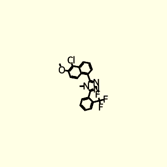 COc1ccc2c(-c3nnc(-c4ccccc4C(F)(F)F)n3C)cccc2c1Cl